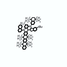 Cc1cc2c3c(c1)N(c1cccc4ccccc14)c1cc4c(cc1C3C1=C(c3cc(C(C)(C)C)ccc3C1)N2c1ccc2c(c1)C(C)(C)CCC2(C)C)C(C)(C)c1cc2c(cc1C4(C)C)C(C)(C)c1ccccc1C2(C)C